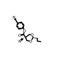 CCC[C@H]1OC[C@@](C#N)(C(=O)Oc2ccc(C#N)cc2)CO1